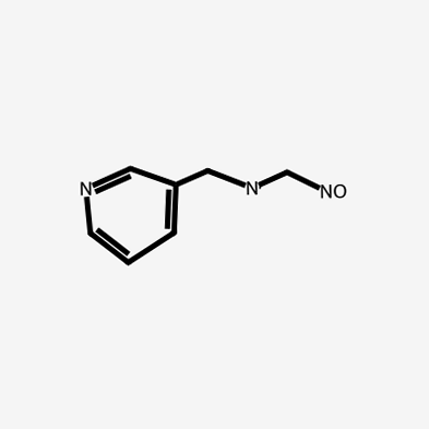 O=NC[N]Cc1cccnc1